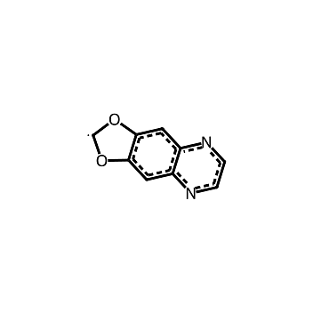 [CH]1Oc2cc3nccnc3cc2O1